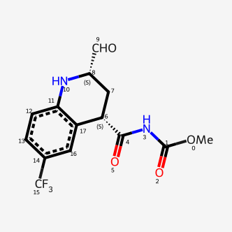 COC(=O)NC(=O)[C@H]1C[C@@H](C=O)Nc2ccc(C(F)(F)F)cc21